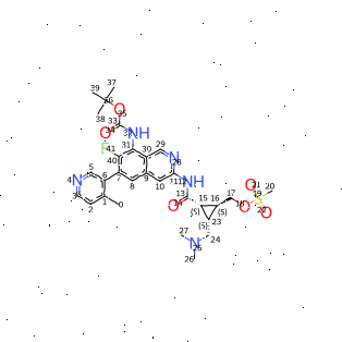 Cc1ccncc1-c1cc2cc(NC(=O)[C@@H]3[C@@H](COS(C)(=O)=O)[C@@H]3CN(C)C)ncc2c(NC(=O)OC(C)(C)C)c1F